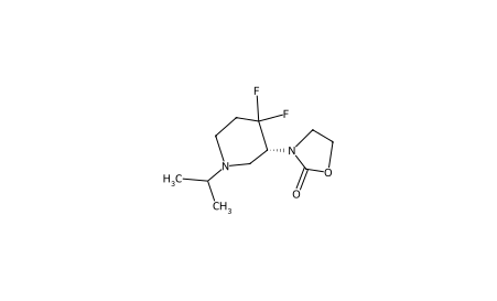 CC(C)N1CCC(F)(F)[C@H](N2CCOC2=O)C1